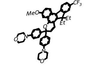 CCC1(CC)c2cc(C(F)(F)F)ccc2-c2c1c1c(c3cc(OC)ccc23)OC(c2ccc(N3CCOCC3)cc2)(c2ccc(N3CCOCC3)cc2)C=C1